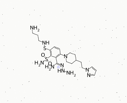 NCCCNSc1ccc(N2CCC(CCn3cccn3)CC2)c(/C(N)=N/NN)c1S(N)(=O)=O